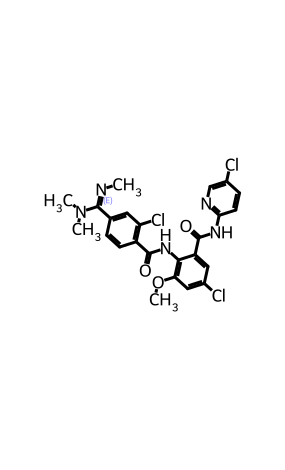 C/N=C(\c1ccc(C(=O)Nc2c(OC)cc(Cl)cc2C(=O)Nc2ccc(Cl)cn2)c(Cl)c1)N(C)C